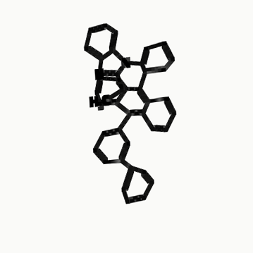 CCc1nc2ccccc2n1-c1ccccc1-c1c2ccccc2c(-c2cccc(-c3ccccc3)c2)c2ccccc12